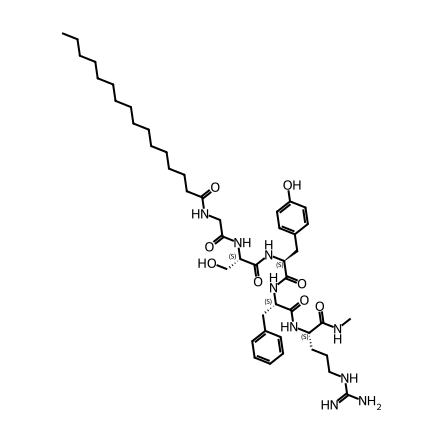 CCCCCCCCCCCCCCCC(=O)NCC(=O)N[C@@H](CO)C(=O)N[C@@H](Cc1ccc(O)cc1)C(=O)N[C@@H](Cc1ccccc1)C(=O)N[C@@H](CCCNC(=N)N)C(=O)NC